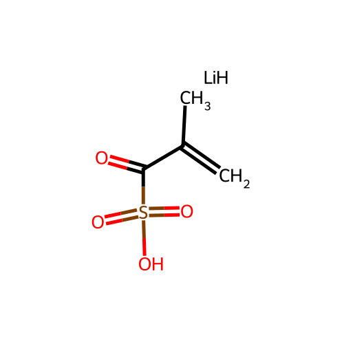 C=C(C)C(=O)S(=O)(=O)O.[LiH]